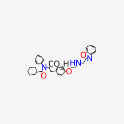 O=C(O)C(Cc1ccc(OCCNCc2nc3ccccc3o2)cc1)N(C(=O)C1CCCCC1)c1ccccc1